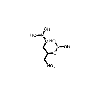 O=[N+]([O-])CC(CON(O)O)ON(O)O